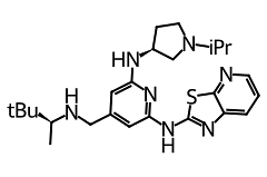 CC(C)N1CC[C@H](Nc2cc(CN[C@@H](C)C(C)(C)C)cc(Nc3nc4cccnc4s3)n2)C1